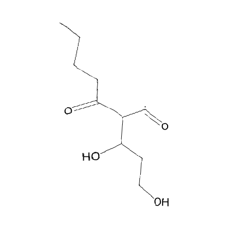 CCCCC(=O)C([C]=O)C(O)CCO